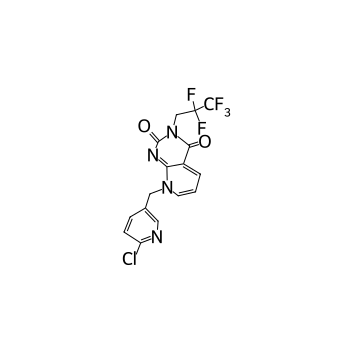 O=c1nc2n(Cc3ccc(Cl)nc3)cccc-2c(=O)n1CC(F)(F)C(F)(F)F